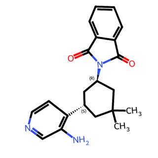 CC1(C)C[C@H](c2ccncc2N)C[C@@H](N2C(=O)c3ccccc3C2=O)C1